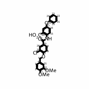 COc1ccc(COc2ccc(C(=O)Nc3ccc(Oc4ccccc4)cc3C(=O)O)cc2Cl)cc1OC